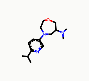 CC(C)c1ccc(N2CCOCC(N(C)C)C2)cn1